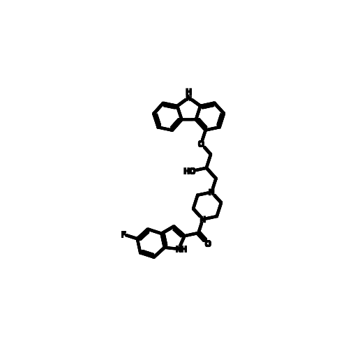 O=C(c1cc2cc(F)ccc2[nH]1)N1CCN(CC(O)COc2cccc3[nH]c4ccccc4c23)CC1